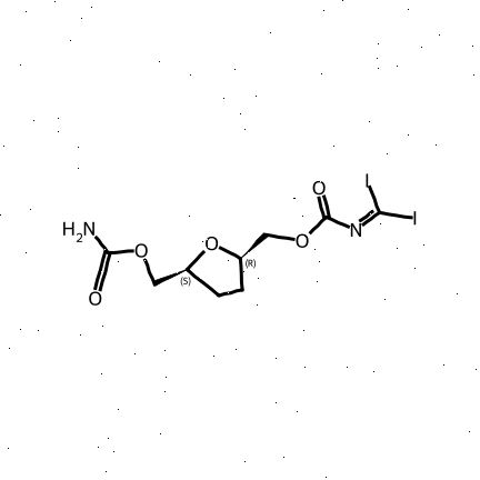 NC(=O)OC[C@@H]1CC[C@H](COC(=O)N=C(I)I)O1